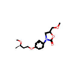 COCC1CN(c2ccc(OCC[C@@H](C)OC)cc2)C(=O)O1